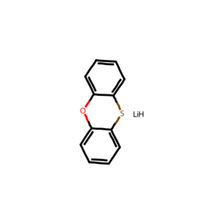 [LiH].c1ccc2c(c1)Oc1ccccc1S2